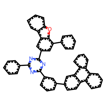 c1ccc(-c2nc(-c3cccc(-c4ccc5c6ccccc6c6ccccc6c5c4)c3)nc(-c3cc(-c4ccccc4)c4oc5ccccc5c4c3)n2)cc1